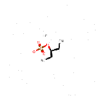 N#CCC(CC#N)OS(=O)(=O)[O-].[Li+]